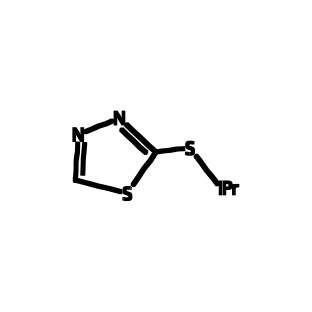 CC(C)Sc1nncs1